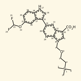 C[Si](C)(C)CCOCn1cc(C(=O)O)c2nc(-c3n[nH]c4ccc(OC(F)F)cc34)cnc21